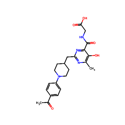 CC(=O)c1ccc(N2CCC(Cc3nc(C)c(O)c(C(=O)NCC(=O)O)n3)CC2)cc1